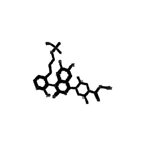 CC(C)c1nccc(CCCO[Si](C)(C)C(C)(C)C)c1-n1c(=O)nc(N2C[C@H](C)N(C(=O)OC(C)(C)C)C[C@@H]2C)c2cc(Cl)c(Cl)nc21